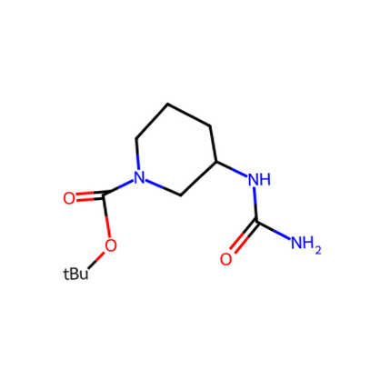 CC(C)(C)OC(=O)N1CCCC(NC(N)=O)C1